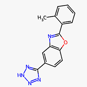 Cc1ccccc1-c1nc2cc(-c3nn[nH]n3)ccc2o1